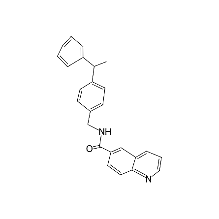 CC(c1ccccc1)c1ccc(CNC(=O)c2ccc3ncccc3c2)cc1